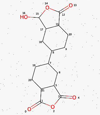 O=C1OC(=O)C2CC(C3CCC4C(=O)OC(O)C4C3)CCC12